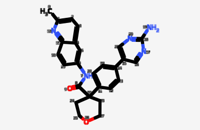 Cc1ccc2cc(NC(=O)C3(c4ccc(-c5cnc(N)nc5)cc4)CCOCC3)ccc2n1